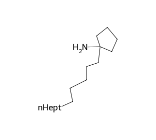 CCCCCCCCCCCCC1(N)CCCC1